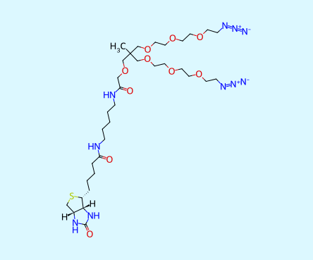 CC(COCCOCCOCCN=[N+]=[N-])(COCCOCCOCCN=[N+]=[N-])COCC(=O)NCCCCCNC(=O)CCCC[C@H]1SC[C@H]2NC(=O)N[C@H]21